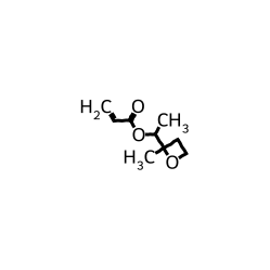 C=CC(=O)OC(C)C1(C)CCO1